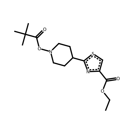 CCOC(=O)c1csc(C2CCN(OC(=O)C(C)(C)C)CC2)n1